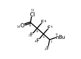 CCCCC(F)C(F)(F)C(F)(F)C(=O)Cl